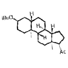 CC(=O)[C@H]1CC[C@H]2[C@@H]3CC[C@H]4C[C@H](OCC(C)C)CC[C@]4(C)[C@H]3CC[C@]12C